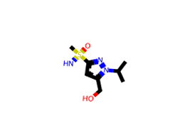 CC(C)n1nc(S(C)(=N)=O)cc1CO